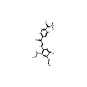 CCOc1cc(OCC)c(C=CC(=O)c2ccc(C(=O)N(C)C)cc2)cc1C